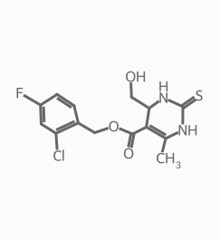 CC1=C(C(=O)OCc2ccc(F)cc2Cl)C(CO)NC(=S)N1